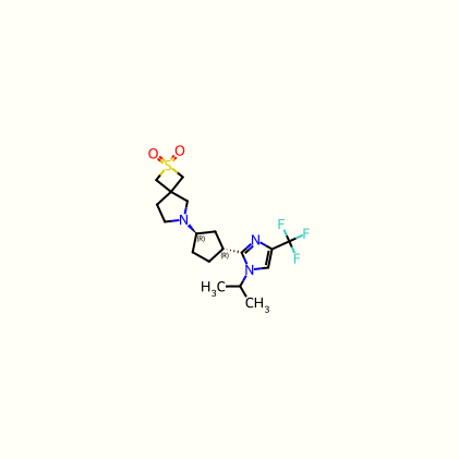 CC(C)n1cc(C(F)(F)F)nc1[C@@H]1CC[C@@H](N2CCC3(C2)CS(=O)(=O)C3)C1